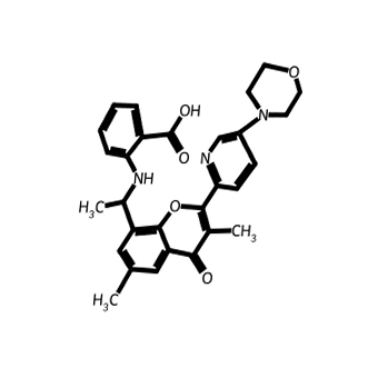 Cc1cc(C(C)Nc2ccccc2C(=O)O)c2oc(-c3ccc(N4CCOCC4)cn3)c(C)c(=O)c2c1